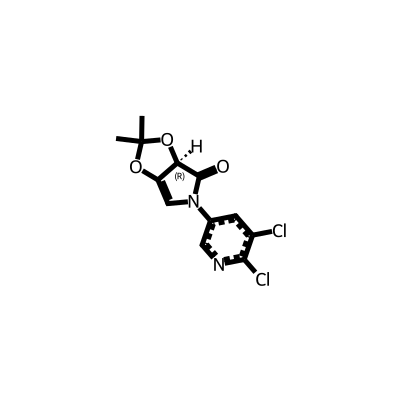 CC1(C)OC2=CN(c3cnc(Cl)c(Cl)c3)C(=O)[C@@H]2O1